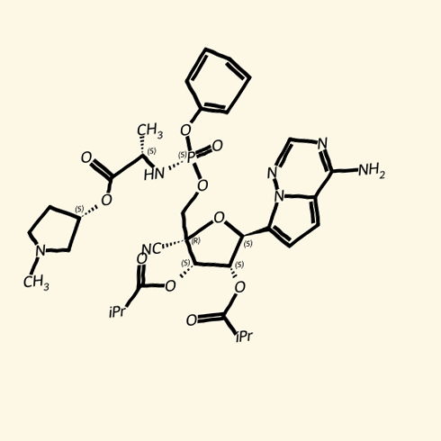 CC(C)C(=O)O[C@H]1[C@H](c2ccc3c(N)ncnn23)O[C@](C#N)(CO[P@@](=O)(N[C@@H](C)C(=O)O[C@H]2CCN(C)C2)Oc2ccccc2)[C@H]1OC(=O)C(C)C